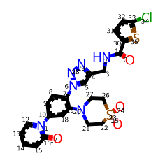 O=C(NCc1cn(-c2ccc(-n3ccccc3=O)cc2N2CCS(=O)(=O)CC2)nn1)c1ccc(Cl)s1